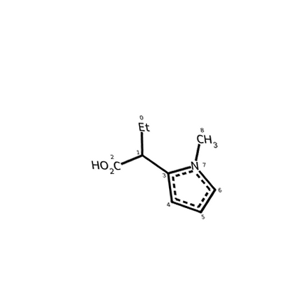 CCC(C(=O)O)c1cccn1C